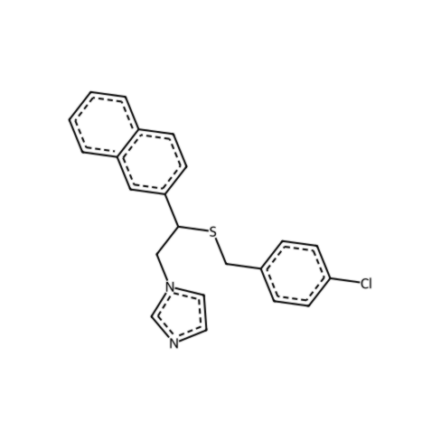 Clc1ccc(CSC(Cn2ccnc2)c2ccc3ccccc3c2)cc1